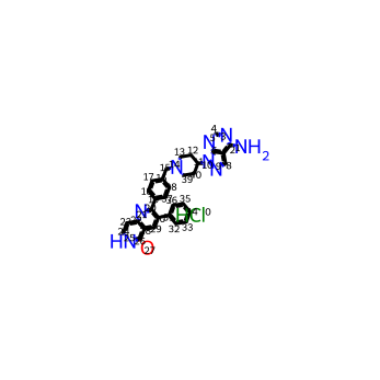 Cl.Nc1ncnc2c1cnn2C1CCN(Cc2ccc(-c3nc4cc[nH]c(=O)c4cc3-c3ccccc3)cc2)CC1